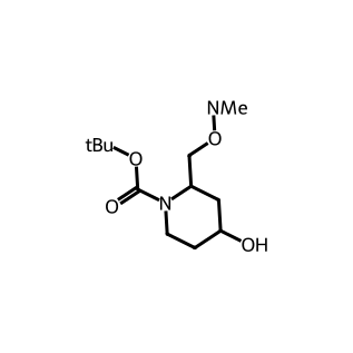 CNOCC1CC(O)CCN1C(=O)OC(C)(C)C